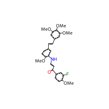 COc1ccc(C(=O)C=CNc2cc(C=Cc3cc(OC)c(OC)c(OC)c3)ccc2OC)cc1F